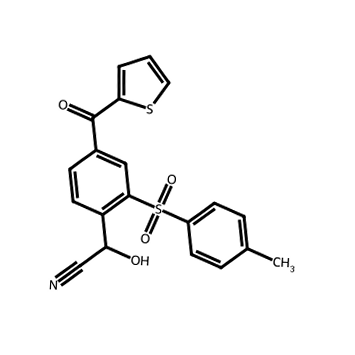 Cc1ccc(S(=O)(=O)c2cc(C(=O)c3cccs3)ccc2C(O)C#N)cc1